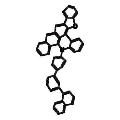 c1cc(-c2ccc(N(c3ccccc3-c3cccc4c3oc3ccccc34)c3cccc4ccccc34)cc2)cc(-c2cccc3ccccc23)c1